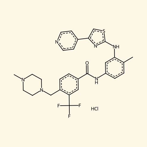 Cc1ccc(NC(=O)c2ccc(CN3CCN(C)CC3)c(C(F)(F)F)c2)cc1Nc1nc(-c2ccncc2)cs1.Cl